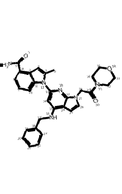 Cc1cc2c(C(N)=O)cccc2n1-c1cc(NCc2ccccc2)c2ccn(CC(=O)N3CCOCC3)c2n1